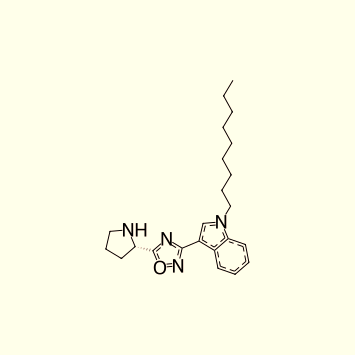 CCCCCCCCCn1cc(-c2noc([C@@H]3CCCN3)n2)c2ccccc21